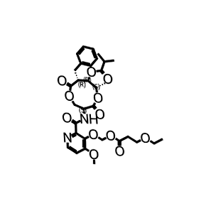 CCOCCC(=O)OCOc1c(OC)ccnc1C(=O)N[C@H]1COC(=O)[C@H](Cc2ccccc2)[C@@H](OC(=O)C(C)C)[C@H](C)OC1=O